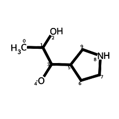 CC(O)C([O])C1CCNC1